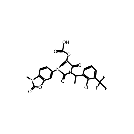 CC(c1cccc(C(F)(F)F)c1Cl)n1c(=O)c(OC(=O)O)cn(-c2ccc3c(c2)oc(=O)n3C)c1=O